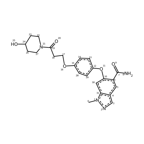 Cn1ncc2cc(C(N)=O)c(Oc3ccc(OCCC(=O)N4CCC(O)CC4)cc3)cc21